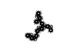 c1ccc2c(c1)oc1ccc(-n3c4ccc(-n5c6ccccc6c6c7oc8ccccc8c7ccc65)cc4c4c5oc6ccc(-c7ccc8oc9ccc%10c%11ccccc%11oc%10c9c8c7)cc6c5ccc43)cc12